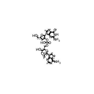 C[C@@H](O)[C@@H](COP(=O)(O)O[C@H]1C[C@@H](CO)O[C@H]1n1cnc2c(=O)[nH]c(N)nc21)O[C@H](CF)n1cnc2c(N)ncnc21